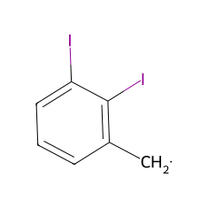 [CH2]c1cccc(I)c1I